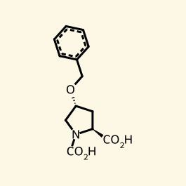 O=C(O)[C@@H]1C[C@@H](OCc2ccccc2)CN1C(=O)O